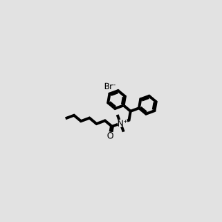 CCCCCCC(=O)[N+](C)(C)CC(c1ccccc1)c1ccccc1.[Br-]